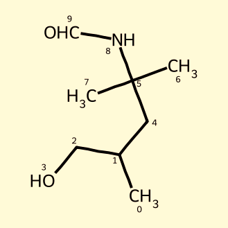 CC(CO)CC(C)(C)NC=O